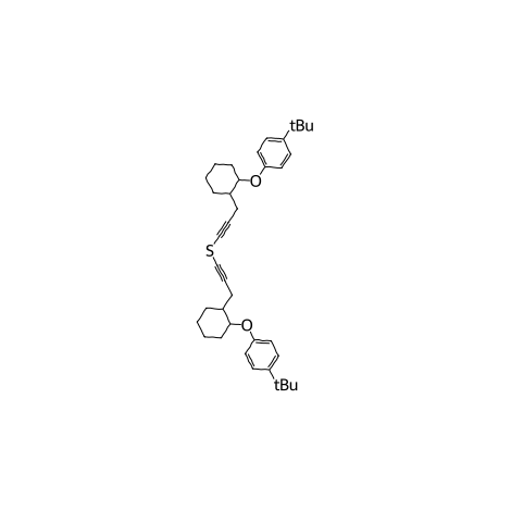 CC(C)(C)c1ccc(OC2CCCCC2CC#CSC#CCC2CCCCC2Oc2ccc(C(C)(C)C)cc2)cc1